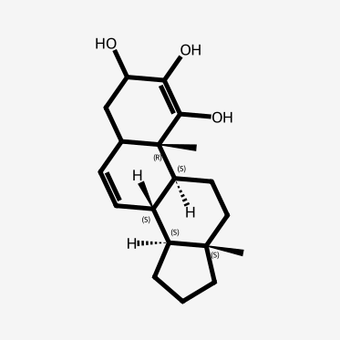 C[C@@]12CCC[C@H]1[C@@H]1C=CC3CC(O)C(O)=C(O)[C@]3(C)[C@H]1CC2